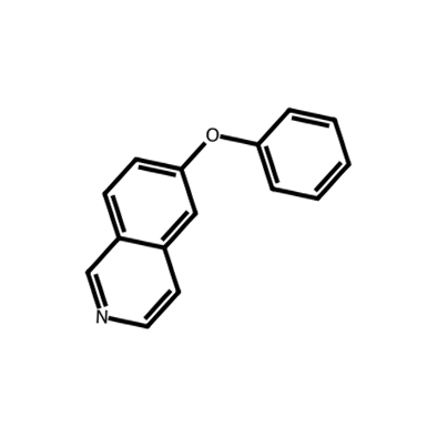 c1ccc(Oc2ccc3cnccc3c2)cc1